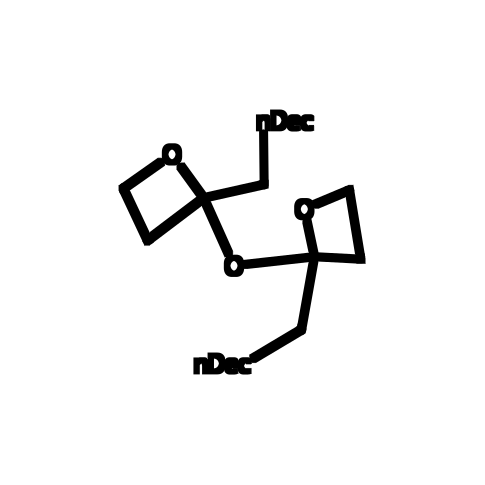 CCCCCCCCCCCC1(OC2(CCCCCCCCCCC)CCO2)CCO1